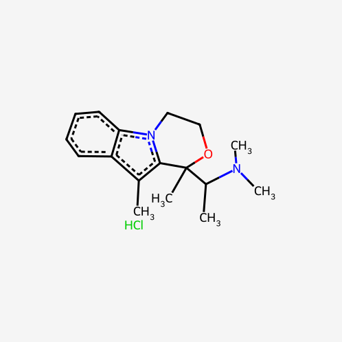 Cc1c2n(c3ccccc13)CCOC2(C)C(C)N(C)C.Cl